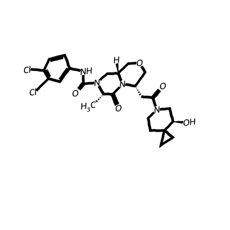 C[C@H]1C(=O)N2[C@@H](CC(=O)N3CCC4(CC4)[C@H](O)C3)COC[C@H]2CN1C(=O)Nc1ccc(Cl)c(Cl)c1